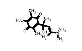 CC1=C(C)C(=O)C(C(C)(C)/C=C(\C)N(C)N)=C(C)C1=O